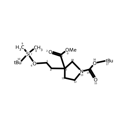 COC(=O)C1(CCO[Si](C)(C)C(C)(C)C)CCN(C(=O)OC(C)(C)C)C1